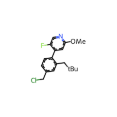 COc1cc(-c2ccc(CCl)cc2CC(C)(C)C)c(F)cn1